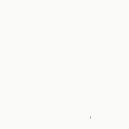 SCC(S)CCCCCCC(S)CS